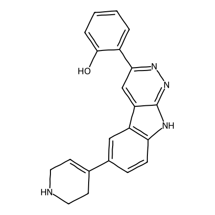 Oc1ccccc1-c1cc2c(nn1)[nH]c1ccc(C3=CCNCC3)cc12